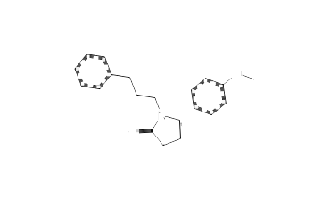 COc1ccc([C@@H]2CCC(=O)N2CCCc2ccccc2)cc1